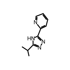 CC(C)c1nnc(-c2ccccn2)[nH]1